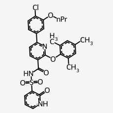 CCCOc1cc(-c2ccc(C(=O)NS(=O)(=O)c3ccc[nH]c3=O)c(Oc3c(C)cc(C)cc3C)n2)ccc1Cl